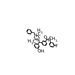 C[C@@H]1CN(C(c2cccc(O)c2)c2cccc(C(=O)N(C)c3cccc(F)c3)c2)[C@@H](C)CN1Cc1ccccc1